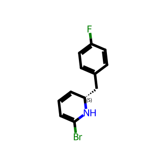 Fc1ccc(C[C@H]2C=CC=C(Br)N2)cc1